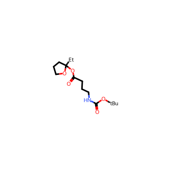 CCC1(OC(=O)CCCNC(=O)OC(C)(C)C)CCCO1